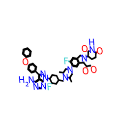 CC1CN(c2cc3c(cc2F)CN(C2CCC(=O)NC2=O)C3C(=O)C=O)CC(C)N1CC1CCC(n2nc(-c3ccc(Oc4ccccc4)cc3)c3c(N)ncnc32)C(F)C1